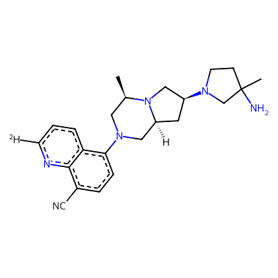 [2H]c1ccc2c(N3C[C@@H]4C[C@H](N5CCC(C)(N)C5)CN4[C@H](C)C3)ccc(C#N)c2n1